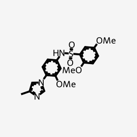 COc1ccc(OC)c(S(=O)(=O)Nc2ccc(-n3cnc(C)c3)c(OC)c2)c1